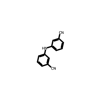 N#Cc1cccc(Nc2cccc(C#N)c2)c1